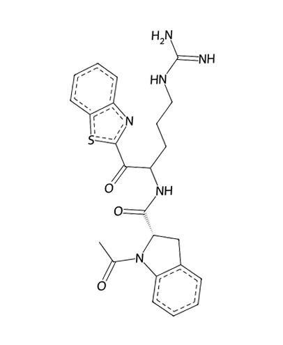 CC(=O)N1c2ccccc2C[C@H]1C(=O)NC(CCCNC(=N)N)C(=O)c1nc2ccccc2s1